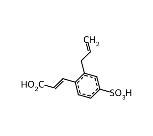 C=CCc1cc(S(=O)(=O)O)ccc1C=CC(=O)O